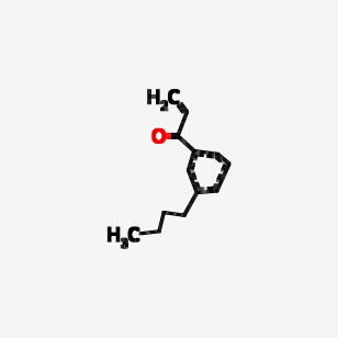 C=CC(=O)c1cccc(CCCC)c1